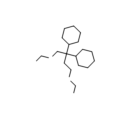 CCOCCC(COCC)(C1CCCCC1)C1CCCCC1